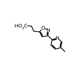 Cc1ccc(-c2cc(CCC(=O)O)on2)nc1